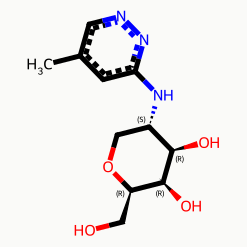 Cc1cnnc(N[C@H]2CO[C@H](CO)[C@H](O)[C@@H]2O)c1